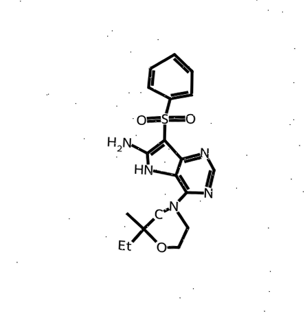 CCC1(C)CN(c2ncnc3c(S(=O)(=O)c4ccccc4)c(N)[nH]c23)CCO1